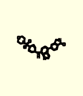 O=C1N=Cc2cc(-c3ccc(Nc4ccc(S(=O)(=O)N5CCOCC5)cc4)c4nccn34)ccc21